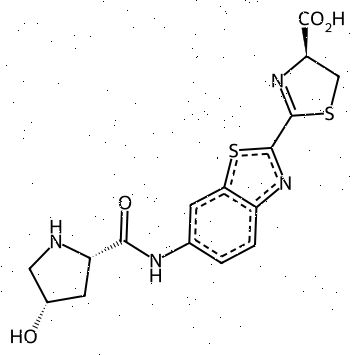 O=C(Nc1ccc2nc(C3=N[C@@H](C(=O)O)CS3)sc2c1)[C@@H]1C[C@H](O)CN1